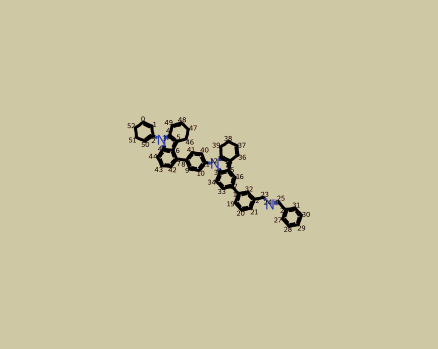 C1=CC(n2c3c(c4c(-c5ccc(-n6c7c(c8cc(-c9cccc(C/N=C/c%10ccccc%10)c9)ccc86)C=CCC7)cc5)cccc42)CCC=C3)=CCC1